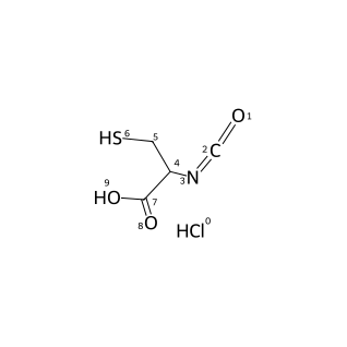 Cl.O=C=NC(CS)C(=O)O